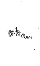 COc1ccc(CCN2CCN[C@H](Cc3c[nH]c4ccccc34)C2=O)cc1